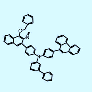 C=Nc1c(-c2ccc(N(c3ccc(-c4cc5ccccc5c5ccccc45)cc3)c3cccc(-c4ccccc4)c3)cc2)cc2ccccc2c1OCc1ccccc1